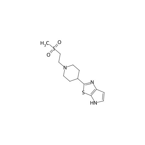 CS(=O)(=O)CCN1CCC(c2nc3cc[nH]c3s2)CC1